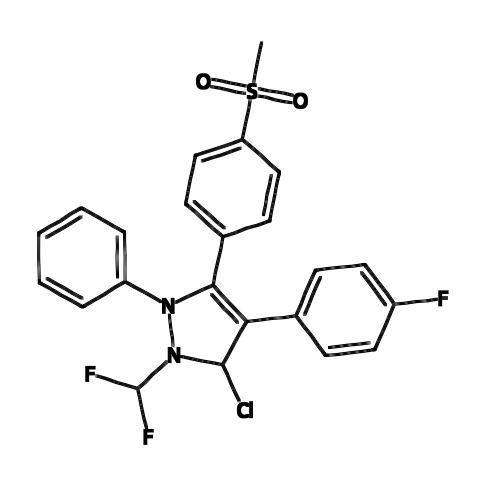 CS(=O)(=O)c1ccc(C2=C(c3ccc(F)cc3)C(Cl)N(C(F)F)N2c2ccccc2)cc1